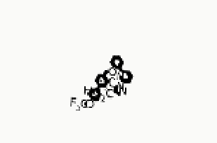 O=C(O)c1cnn(-c2cccc(-c3ccccc3OCc3ccc(-c4ccc(OC(F)(F)F)cc4)cc3)n2)c1C(F)(F)F